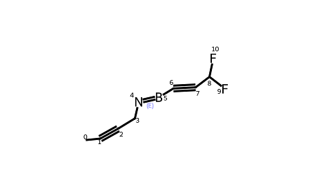 CC#CC/N=B/C#CC(F)F